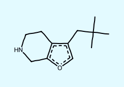 CC(C)(C)Cc1coc2c1CCNC2